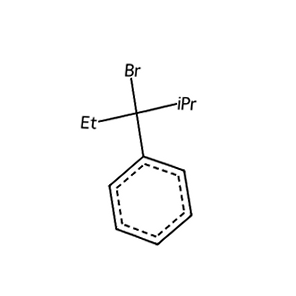 CCC(Br)(c1ccccc1)C(C)C